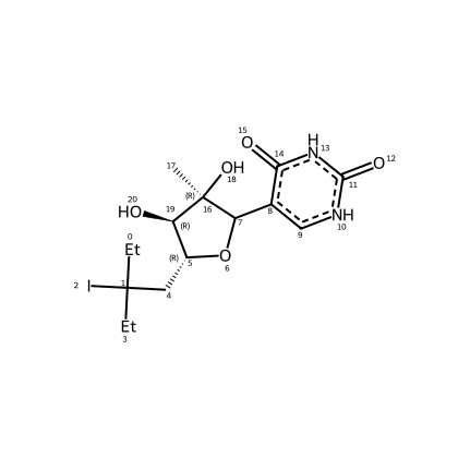 CCC(I)(CC)C[C@H]1OC(c2c[nH]c(=O)[nH]c2=O)[C@](C)(O)[C@@H]1O